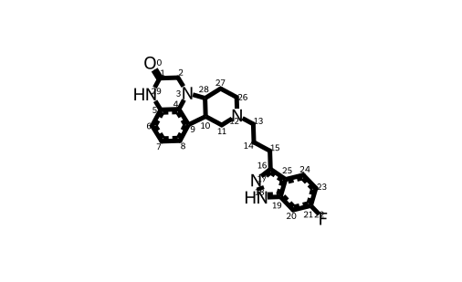 O=C1CN2c3c(cccc3C3CN(CCCc4n[nH]c5cc(F)ccc45)CCC32)N1